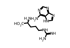 N=C(N)NCCCC(N)C(=O)O.Nc1ncnc2nc[nH]c12